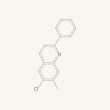 Cc1cc2nc(-c3ccccc3)ccc2cc1Cl